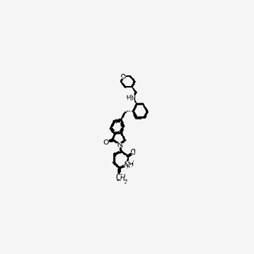 C=C1CCC(N2Cc3cc(C[C@H]4CCCC[C@@H]4NCC4CCOCC4)ccc3C2=O)C(=O)N1